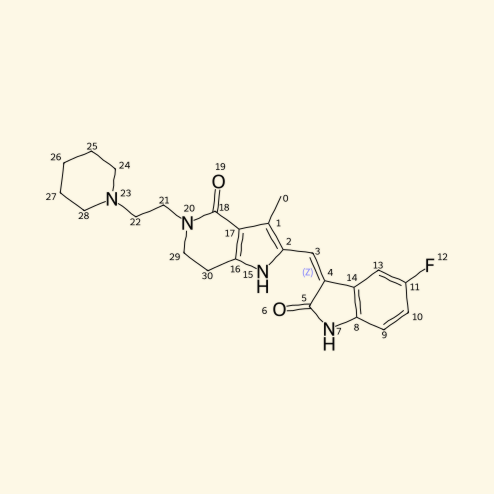 Cc1c(/C=C2\C(=O)Nc3ccc(F)cc32)[nH]c2c1C(=O)N(CCN1CCCCC1)CC2